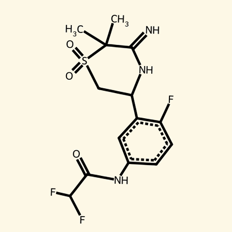 CC1(C)C(=N)NC(c2cc(NC(=O)C(F)F)ccc2F)CS1(=O)=O